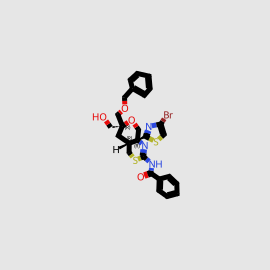 O=C(NC1=N[C@@]2(c3nc(Br)cs3)CO[C@](CO)(COCc3ccccc3)C[C@H]2CS1)c1ccccc1